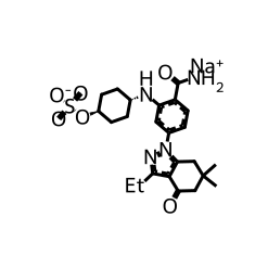 CCc1nn(-c2ccc(C(N)=O)c(N[C@H]3CC[C@H](OS(=O)(=O)[O-])CC3)c2)c2c1C(=O)CC(C)(C)C2.[Na+]